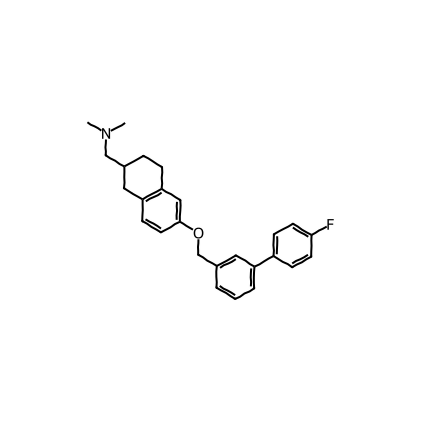 CN(C)CC1CCc2cc(OCc3cccc(-c4ccc(F)cc4)c3)ccc2C1